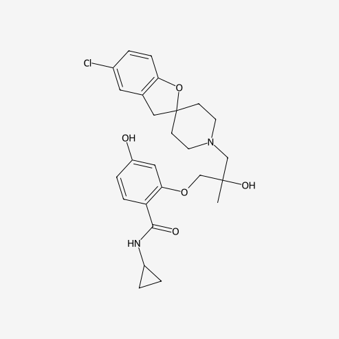 CC(O)(COc1cc(O)ccc1C(=O)NC1CC1)CN1CCC2(CC1)Cc1cc(Cl)ccc1O2